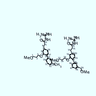 COCCCOc1cc(CCC(=O)NC(=N)N)ccc1-c1cccc(C)c1.COCCCOc1cc(CCC(=O)NC(=N)N)ccc1-c1cccc(COC)c1